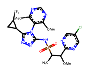 COc1ncnc(OC)c1-n1c(NS(=O)(=O)C(C)C(OC)c2ncc(Cl)cn2)nnc1C1CC1C(F)(F)F